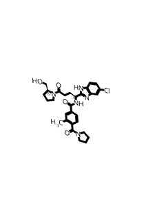 Cc1cc(C(=O)N[C@@H](CCC(=O)N2CCC[C@H]2CO)c2nc3cc(Cl)ccc3[nH]2)ccc1C(=O)N1CCCC1